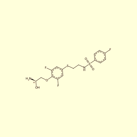 N[C@H](O)COc1c(F)cc(SCCNS(=O)(=O)c2ccc(F)cc2)cc1F